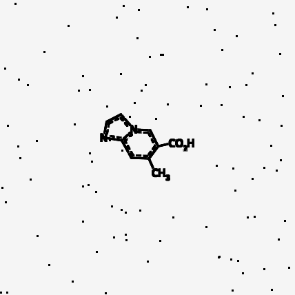 Cc1cc2nccn2cc1C(=O)O